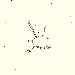 N=C(N)NN=C=S.OCCS